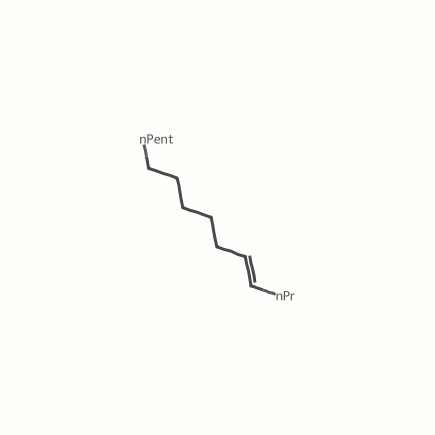 [CH2]CCC=CCCCCCCCCCC